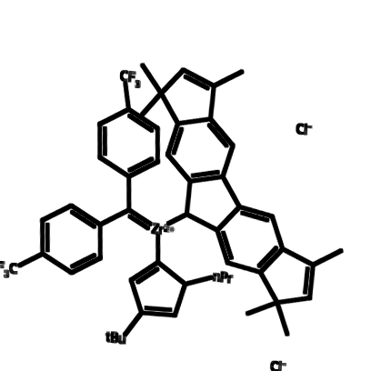 CCCC1C=C(C(C)(C)C)C=[C]1[Zr+2](=[C](c1ccc(C(F)(F)F)cc1)c1ccc(C(F)(F)F)cc1)[CH]1c2cc3c(cc2-c2cc4c(cc21)C(C)(C)C=C4C)C(C)=CC3(C)C.[Cl-].[Cl-]